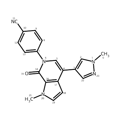 Cn1cc(-c2cn(-c3ccc(C#N)cc3)c(=O)c3c2ccn3C)cn1